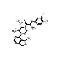 CC1SCc2ncnc(N3CCN(C(=O)C(N)Cc4ccc(Cl)c(F)c4)CC3C)c21.Cl.Cl